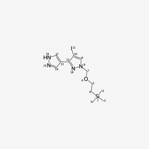 C[Si](C)(C)CCOCn1cc(I)c(-c2cn[nH]c2)n1